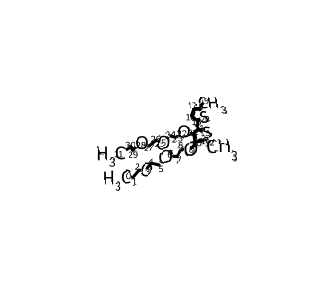 CCCOCCOCCOc1c(C)sc(-c2ccc(C)s2)c1OCCOCCOCCC